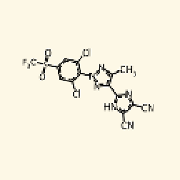 Cc1nn(-c2c(Cl)cc(S(=O)(=O)C(F)(F)F)cc2Cl)nc1-c1nc(C#N)c(C#N)[nH]1